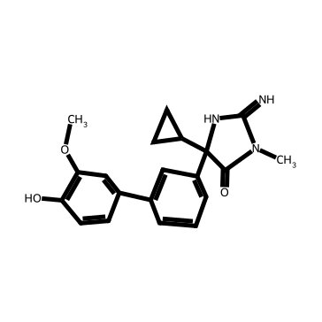 COc1cc(-c2cccc(C3(C4CC4)NC(=N)N(C)C3=O)c2)ccc1O